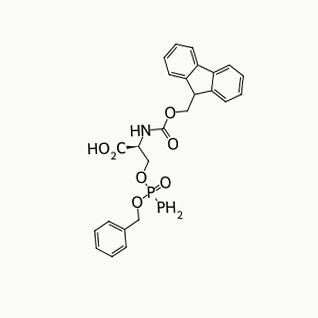 O=C(N[C@@H](COP(=O)(P)OCc1ccccc1)C(=O)O)OCC1c2ccccc2-c2ccccc21